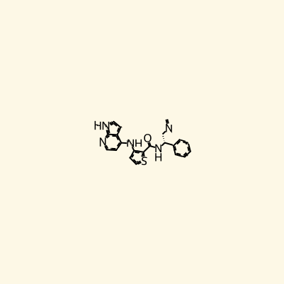 C=NC[C@@H](NC(=O)c1sccc1Nc1ccnc2[nH]ccc12)c1ccccc1